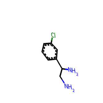 NCC(N)c1cccc(Cl)c1